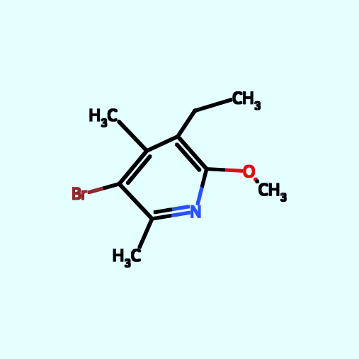 CCc1c(OC)nc(C)c(Br)c1C